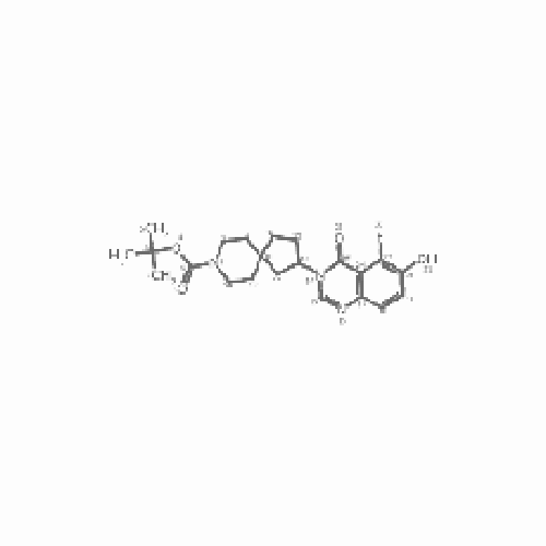 CC(C)(C)OC(=O)N1CCC2(CCC(n3cnc4ccc(O)c(F)c4c3=O)C2)CC1